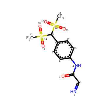 N=CC(=O)Nc1ccc(C(S(=O)(=O)C(F)(F)F)S(=O)(=O)C(F)(F)F)cc1